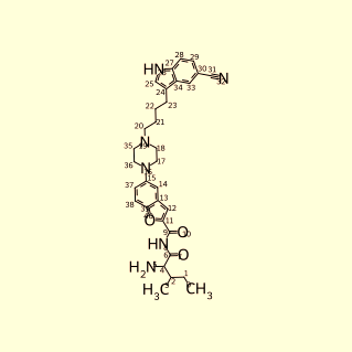 CCC(C)C(N)C(=O)NC(=O)c1cc2cc(N3CCN(CCCCc4c[nH]c5ccc(C#N)cc45)CC3)ccc2o1